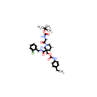 CCc1ccc(NC(=O)OCC2(C(=O)NCc3ccccc3Cl)CCCN(C(=O)CNC(=O)OC(C)(C)C)C2)cc1